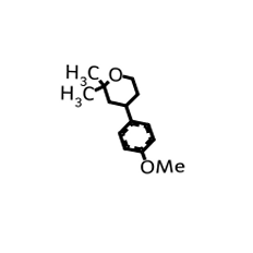 COc1ccc(C2CCOC(C)(C)C2)cc1